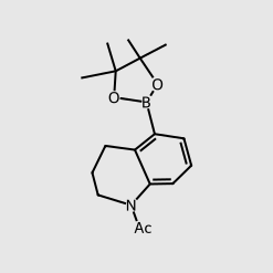 CC(=O)N1CCCc2c(B3OC(C)(C)C(C)(C)O3)cccc21